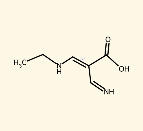 CCN/C=C(\C=N)C(=O)O